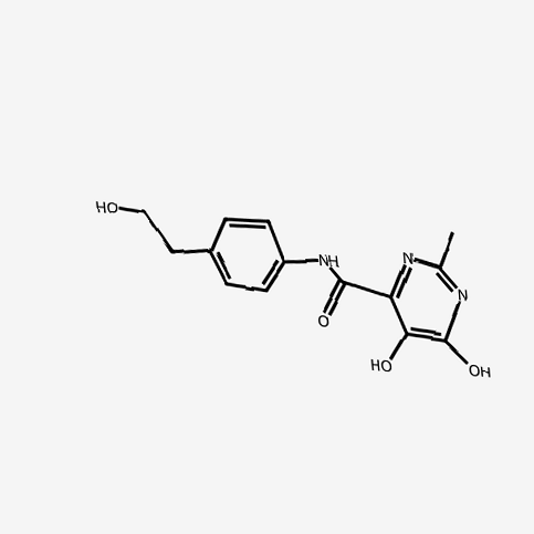 Cc1nc(O)c(O)c(C(=O)Nc2ccc(CCO)cc2)n1